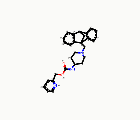 O=C(NC1CCN(CC23CC(c4ccccc42)c2ccccc23)CC1)OCc1ccccn1